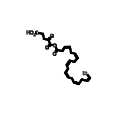 CC/C=C\C/C=C\C/C=C\C/C=C\C/C=C\C/C=C\CC(=O)OC(=O)C(=O)CCC(=O)O